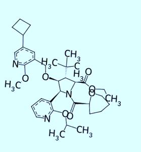 CCOC(=O)[C@@H]1[C@@H](C(C)(C)C)[C@H](OCc2cc(C3CCC3)cnc2OC)[C@H](c2cccnc2OC(C)C)N1C(=O)[C@@H]1CCCCO1